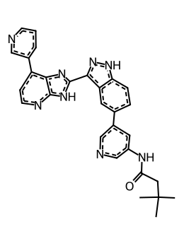 CC(C)(C)CC(=O)Nc1cncc(-c2ccc3[nH]nc(-c4nc5c(-c6cccnc6)ccnc5[nH]4)c3c2)c1